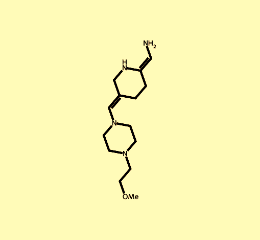 COCCN1CCN(/C=C2\CC/C(=C/N)NC2)CC1